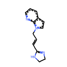 C(=C\C1=NCCN1)/Cn1ccc2cccnc21